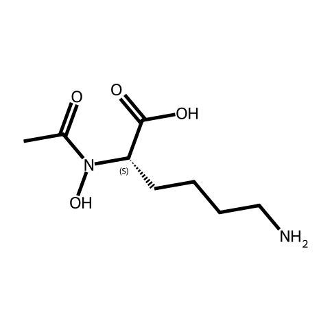 CC(=O)N(O)[C@@H](CCCCN)C(=O)O